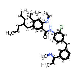 C=N/C(=C\C)c1cccc(Cc2ccc(NC(=C)c3cc(CC(CCC)CCC)c(CC)cc3/N=C\C)c(Cl)c2)c1